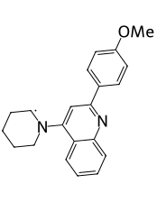 COc1ccc(-c2cc(N3[CH]CCCC3)c3ccccc3n2)cc1